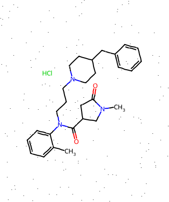 Cc1ccccc1N(CCCN1CCC(Cc2ccccc2)CC1)C(=O)C1CC(=O)N(C)C1.Cl